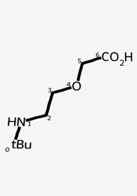 CC(C)(C)NCCOCC(=O)O